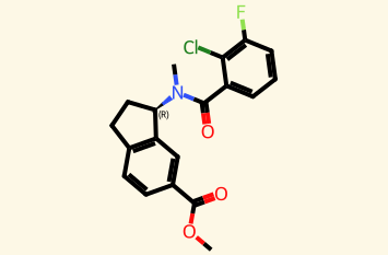 COC(=O)c1ccc2c(c1)[C@H](N(C)C(=O)c1cccc(F)c1Cl)CC2